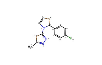 Cc1nnc(N2C=CSC2c2ccc(F)cc2)s1